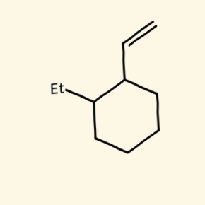 C=CC1CCCCC1CC